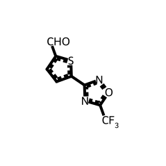 O=Cc1ccc(-c2noc(C(F)(F)F)n2)s1